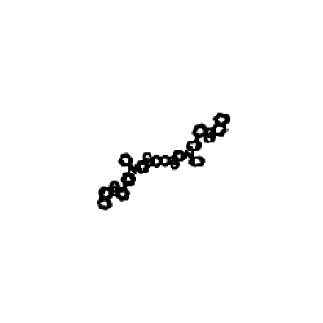 c1ccc(N(c2ccc(-c3cccc4c3oc3ccc5ccccc5c34)cc2)c2ccc3c(c2)oc2cc4cc5c(cc4cc23)oc2cc(N(c3ccccc3)c3ccc(-c4cccc6c4oc4ccc7ccccc7c46)cc3)ccc25)cc1